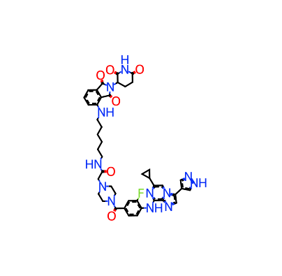 O=C(CN1CCN(C(=O)c2ccc(Nc3nc(C4CC4)cn4c(-c5cn[nH]c5)cnc34)c(F)c2)CC1)NCCCCCCNc1cccc2c1C(=O)N(C1CCC(=O)NC1=O)C2=O